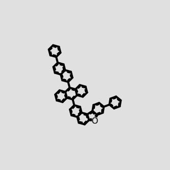 c1ccc(-c2ccc3cc(-c4c5ccccc5c(-c5ccc6ccc7oc8cc(-c9ccccc9)ccc8c7c6c5)c5ccccc45)ccc3c2)cc1